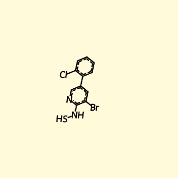 SNc1ncc(-c2ccccc2Cl)cc1Br